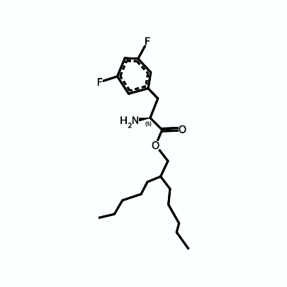 CCCCCC(CCCCC)COC(=O)[C@@H](N)Cc1cc(F)cc(F)c1